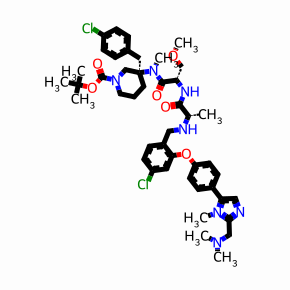 COC[C@H](NC(=O)[C@H](C)NCc1ccc(Cl)cc1Oc1ccc(-c2cnc(CN(C)C)n2C)cc1)C(=O)N(C)[C@@]1(Cc2ccc(Cl)cc2)CCCN(C(=O)OC(C)(C)C)C1